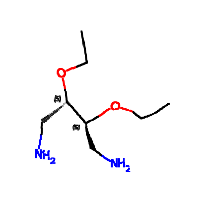 CCO[C@@H](CN)[C@H](CN)OCC